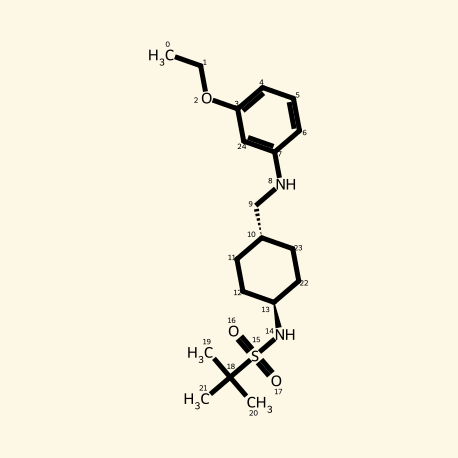 CCOc1cccc(NC[C@H]2CC[C@H](NS(=O)(=O)C(C)(C)C)CC2)c1